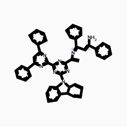 C=C(/N=C(\C=C(/N)c1ccccc1)c1ccccc1)c1nc(-c2nc(-c3ccccc3)cc(-c3ccccc3)n2)nc(N2c3ccccc3C3C=CC=CC32)n1